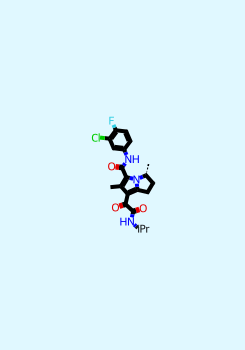 Cc1c(C(=O)C(=O)NC(C)C)c2n(c1C(=O)Nc1ccc(F)c(Cl)c1)[C@H](C)CC2